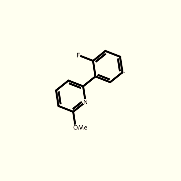 COc1cccc(-c2c[c]ccc2F)n1